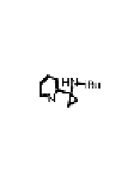 CCC(C)NC1(c2ccccn2)CC1